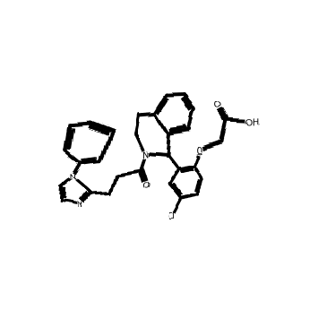 O=C(O)COc1ccc(Cl)cc1C1c2ccccc2CCN1C(=O)CCc1nccn1-c1ccccc1